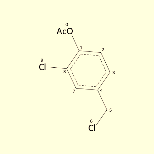 CC(=O)Oc1ccc(CCl)cc1Cl